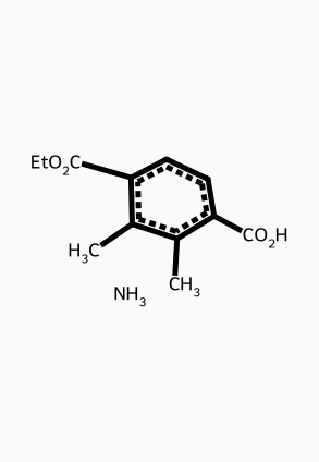 CCOC(=O)c1ccc(C(=O)O)c(C)c1C.N